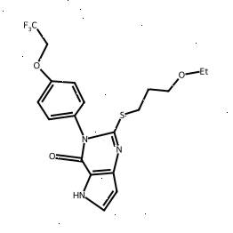 CCOCCCSc1nc2cc[nH]c2c(=O)n1-c1ccc(OCC(F)(F)F)cc1